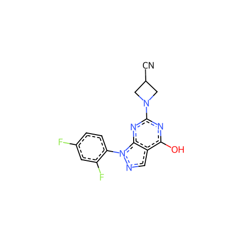 N#CC1CN(c2nc(O)c3cnn(-c4ccc(F)cc4F)c3n2)C1